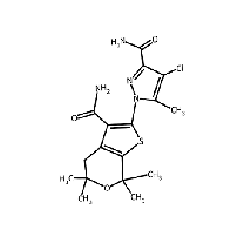 Cc1c(Cl)c(C(N)=O)nn1-c1sc2c(c1C(N)=O)CC(C)(C)OC2(C)C